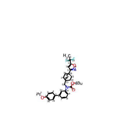 CC(C)Oc1ccc(-c2cccc(N(CC34CCC(c5cc(C(C)(F)F)on5)(CC3)CC4)C(=O)OC(C)(C)C)c2)cc1